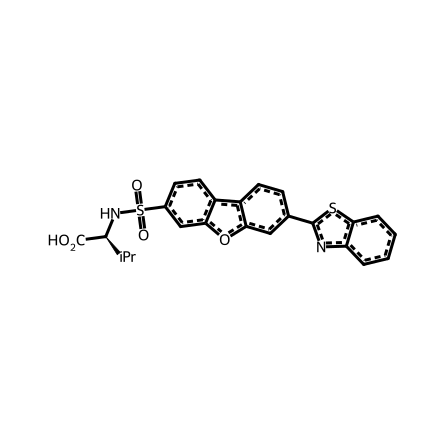 CC(C)[C@H](NS(=O)(=O)c1ccc2c(c1)oc1cc(-c3nc4ccccc4s3)ccc12)C(=O)O